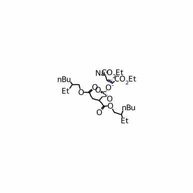 CCCCC(CC)COC(=O)CC(C(=O)OCC(CC)CCCC)S(=O)(=O)[O-].CCOC(=O)/C=C\C(=O)OCC.[Na+]